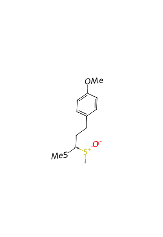 COc1ccc(CCC(SC)[S+](C)[O-])cc1